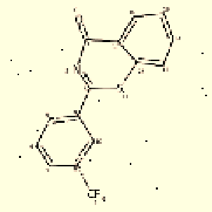 O=c1nc(-c2cccc(C(F)(F)F)c2)sc2ccccc12